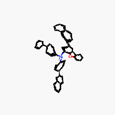 c1ccc(-c2ccc(N(c3ccc(-c4ccc5ccccc5c4)cc3)c3cc(-c4ccc5ccccc5c4)cc4c3oc3ccccc34)cc2)cc1